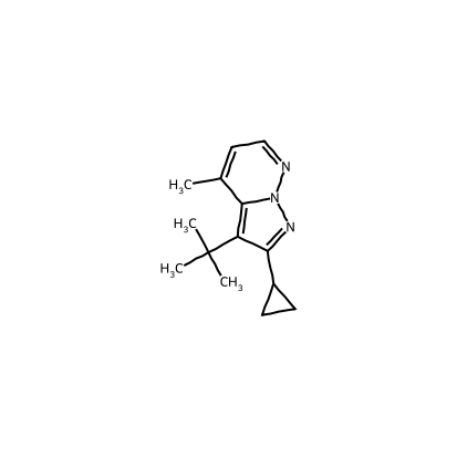 Cc1ccnn2nc(C3CC3)c(C(C)(C)C)c12